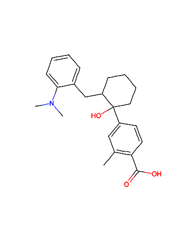 Cc1cc(C2(O)CCCCC2Cc2ccccc2N(C)C)ccc1C(=O)O